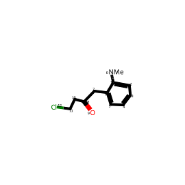 CNc1ccccc1CC(=O)CCCl